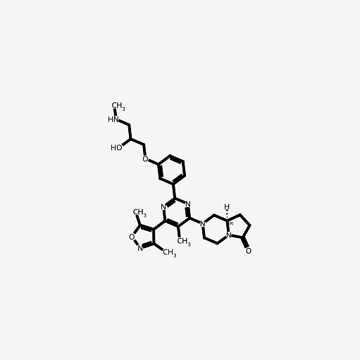 CNCC(O)COc1cccc(-c2nc(-c3c(C)noc3C)c(C)c(N3CCN4C(=O)CC[C@@H]4C3)n2)c1